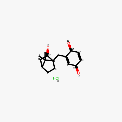 CC1(C)C2CCC1(CC1=CC(=O)C=CC1=O)C(=O)C2.Cl